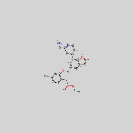 CCOC(=O)Cc1ccc(F)cc1OCc1cc(-c2ccnc(CN)c2)c2occc2c1